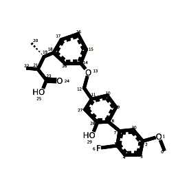 COc1ccc(F)c(-c2ccc(COc3cccc([C@@H](C)C(C)C(=O)O)c3)cc2O)c1